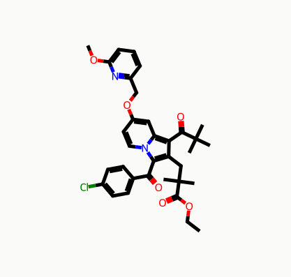 CCOC(=O)C(C)(C)Cc1c(C(=O)C(C)(C)C)c2cc(OCc3cccc(OC)n3)ccn2c1C(=O)c1ccc(Cl)cc1